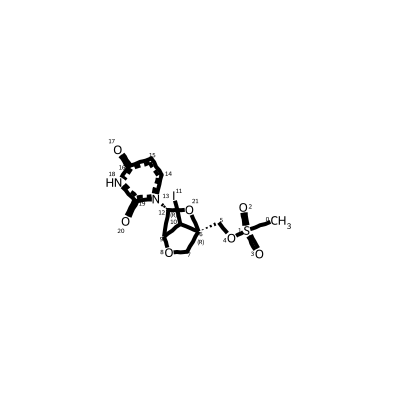 CS(=O)(=O)OC[C@]12COC(C1I)[C@H](n1ccc(=O)[nH]c1=O)O2